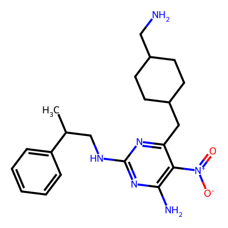 CC(CNc1nc(N)c([N+](=O)[O-])c(CC2CCC(CN)CC2)n1)c1ccccc1